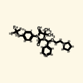 CC1(C)C(=O)N(c2ccc(SC(F)(F)F)cc2)C(=O)N1C(OCCN1CCCC1)c1ccncc1